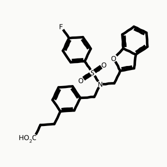 O=C(O)CCc1cccc(CN(Cc2cc3ccccc3o2)S(=O)(=O)c2ccc(F)cc2)c1